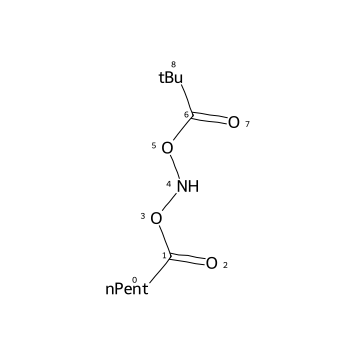 CCCCCC(=O)ONOC(=O)C(C)(C)C